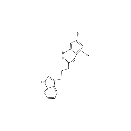 O=C(CCCc1c[nH]c2ccccc12)Oc1c(Br)cc(Br)cc1Br